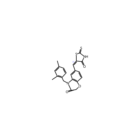 Cc1ccc(CN2C(=O)COc3ccc(/C=C4/SC(=S)NC4=O)cc32)c(C)c1